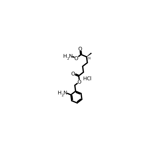 C[C@@H](CCCC(=O)OCc1ccccc1N)C(=O)ON.Cl